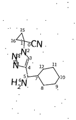 N#CC1(n2cc([C@@H](N)C3CCCCC3)nn2)CC1